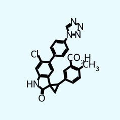 Cc1ccc(C2CC23C(=O)Nc2cc(Cl)c(-c4ccc(-n5cnnn5)cc4)cc23)cc1C(=O)O